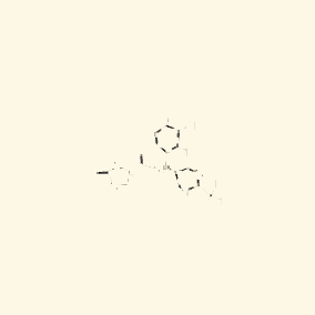 O=C1NC[C@@H](C(=O)N[C@@H](c2cnc(C(F)(F)F)nc2)c2ccc(F)c(Cl)c2F)N1